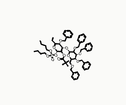 CCCCOP(=O)(OCCCC)O[C@@H]1OC(CC)[C@H](OCc2ccccc2)[C@H](O[C@@H]2OC(COCc3ccccc3)[C@H](OCc3ccccc3)[C@@H](OCc3ccccc3)C2OCc2ccccc2)C1OC(=O)C(C)(C)C